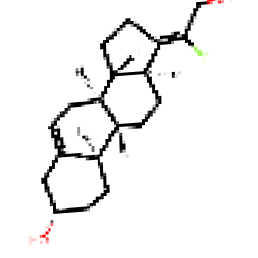 C[C@]12CC[C@H]3[C@@H](CC=C4C[C@@H](O)CC[C@@H]43)[C@@H]1CCC2=C(F)CO